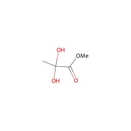 COC(=O)C(C)(O)O